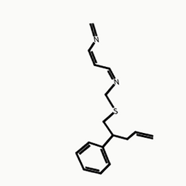 C=CCC(CSC/N=C\C=C/N=C)c1ccccc1